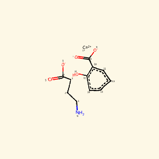 NCCCC(=O)[O-].O=C([O-])c1ccccc1O.[Ca+2]